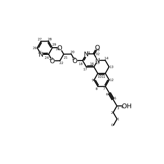 CCCC(O)C#Cc1ccc2c(c1)CCn1c-2cc(OCC2COc3ncccc3O2)nc1=O